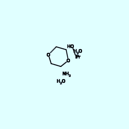 C1COCCO1.CC(C)O.N.O.O